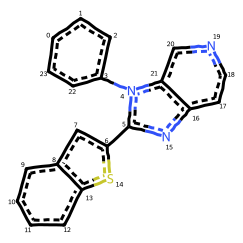 c1ccc(-n2c(-c3cc4ccccc4s3)nc3ccncc32)cc1